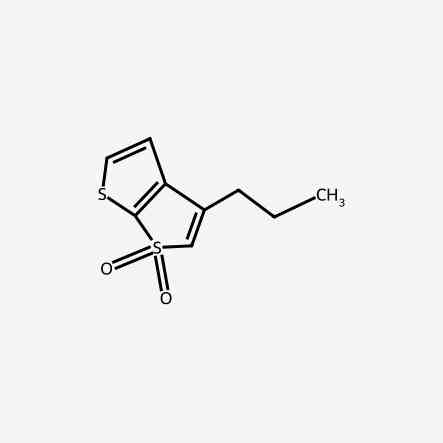 CCCC1=CS(=O)(=O)c2sccc21